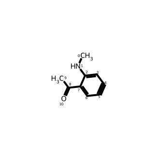 CNc1cc#ccc1C(C)=O